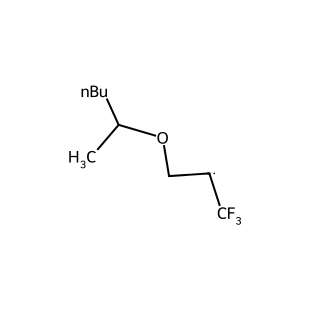 CCCCC(C)OC[CH]C(F)(F)F